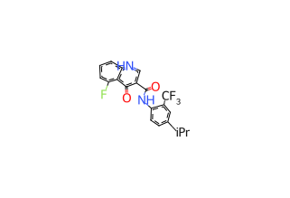 CC(C)c1ccc(NC(=O)c2c[nH]c3cccc(F)c3c2=O)c(C(F)(F)F)c1